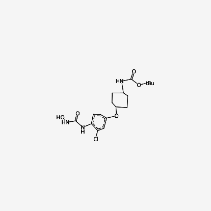 CC(C)(C)OC(=O)NC1CCC(Oc2ccc(NC(=O)NO)c(Cl)c2)CC1